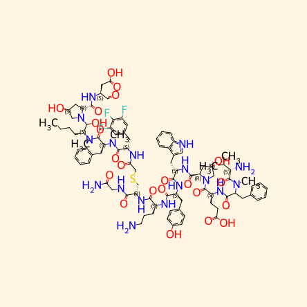 CCCC[C@@H](C(O)N1C[C@@H](O)C[C@@H]1C(=O)N[C@H](C=O)CC(=O)O)N(C)C(=O)[C@H](Cc1ccccc1)N(C)C(=O)[C@H](Cc1cc(F)c(F)c(F)c1)NC(=O)CSC[C@H](NC(=O)[C@H](CCCN)NC(=O)[C@H](Cc1ccc(O)cc1)NC(=O)[C@H](Cc1c[nH]c2ccccc12)NC(=O)[C@H]1C[C@@H](O)CN1C(=O)[C@H](CCC(=O)O)NC(=O)C(Cc1ccccc1)N(C)C(=O)[C@@H](N)C(C)C)C(=O)NCC(N)=O